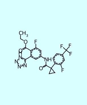 CCOC(=O)c1c(F)cc(NC(=O)C2(c3ccc(C(F)(F)F)cc3F)CC2)cc1-c1nnn[nH]1